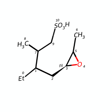 CCC(C[C@@H]1OC1C)C(C)CS(=O)(=O)O